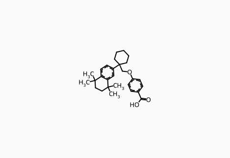 CC1(C)CCC(C)(C)c2cc(C3(COc4ccc(C(=O)O)cc4)CCCCC3)ccc21